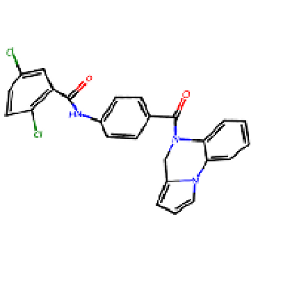 O=C(Nc1ccc(C(=O)N2Cc3cccn3-c3ccccc32)cc1)c1cc(Cl)ccc1Cl